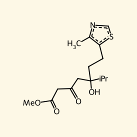 COC(=O)CC(=O)CC(O)(CCc1scnc1C)C(C)C